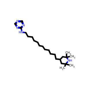 CC1(C)CC(CCCCCCCCCCCCNc2ncncn2)CC(C)(C)N1